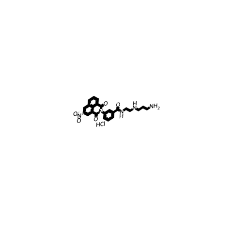 Cl.NCCCNCCNC(=O)c1cccc(N2C(=O)c3cccc4cc([N+](=O)[O-])cc(c34)C2=O)c1